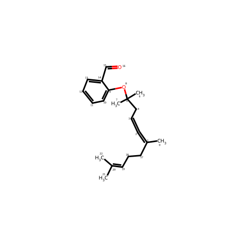 CC(=C=CCC(C)(C)Oc1ccccc1C=O)CCC=C(C)C